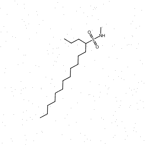 [CH2]NS(=O)(=O)C(CCC)CCCCCCCCCCCC